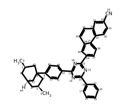 C[C@@H]1C[C@@H]2C[C@H](C)CC(c3ccc(-c4nc(-c5ccccc5)nc(-c5ccc6c(ccc7cc(C#N)ccc76)c5)n4)cc3)(C1)C2